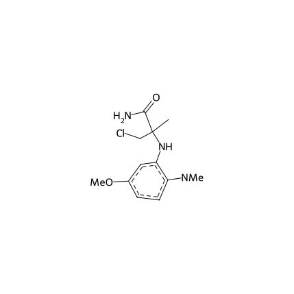 CNc1ccc(OC)cc1NC(C)(CCl)C(N)=O